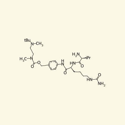 CC(C)[C@H](N)C(=O)N[C@@H](CCCCNC(N)=O)C(=O)Nc1ccc(COC(=O)N(C)CCN(C)C(C)(C)C)cc1